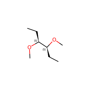 CC[C@H](OC)[C@H](CC)OC